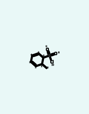 CC1C=CC=CC1S(=O)(=O)Cl